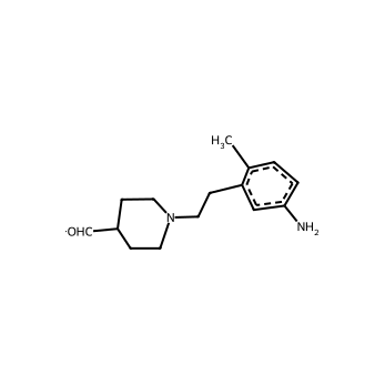 Cc1ccc(N)cc1CCN1CCC([C]=O)CC1